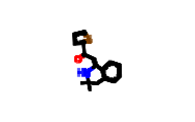 CC1(C)Cc2ccccc2C(=CC(=O)c2cccs2)N1